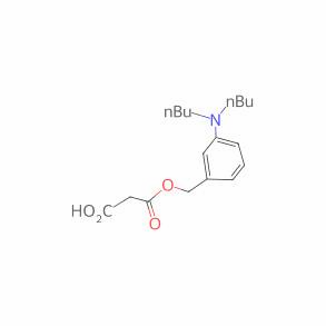 CCCCN(CCCC)c1cccc(COC(=O)CC(=O)O)c1